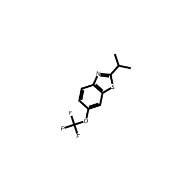 CC(C)c1nc2ccc(OC(F)(F)F)cc2s1